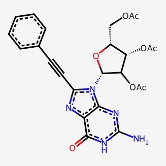 CC(=O)OC[C@H]1O[C@@H](n2c(C#Cc3ccccc3)nc3c(=O)[nH]c(N)nc32)C(OC(C)=O)[C@H]1OC(C)=O